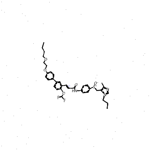 CCCCOCCOc1ccc(-c2ccc(OC(F)F)c(/C=C/C(=O)Nc3ccc([S+]([O-])Cc4c(C)ncn4CCC)cc3)c2)cc1